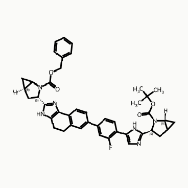 CC(C)(C)OC(=O)N1[C@@H]2CC2C[C@H]1c1ncc(-c2ccc(-c3ccc4c(c3)CCc3[nH]c([C@@H]5C[C@H]6CC6N5C(=O)OCc5ccccc5)nc3-4)cc2F)[nH]1